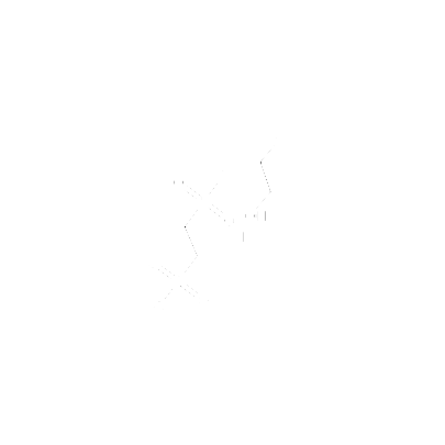 O=S(=O)([O-])CCS(=O)(=O)[O-].OCCO.[Li+].[Li+]